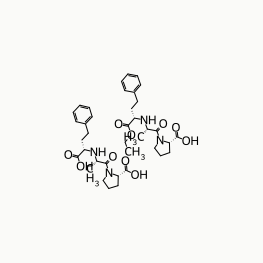 CCOC(=O)[C@H](CCc1ccccc1)N[C@@H](C)C(=O)N1CCC[C@H]1C(=O)O.C[C@H](N[C@@H](CCc1ccccc1)C(=O)O)C(=O)N1CCC[C@H]1C(=O)O